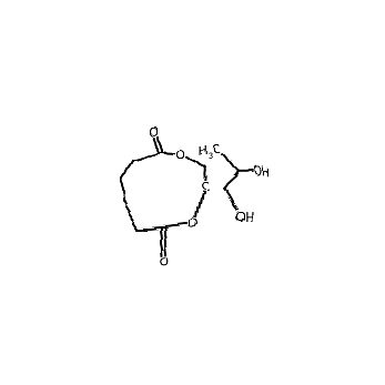 CC(O)CO.O=C1CCCCC(=O)OCCO1